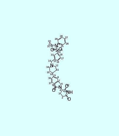 O=C1CCC(N2Cc3cc(C4CCN(Cc5cccc(S(=O)(=O)N(c6ccccc6)C6CC6)c5)CC4)ccc3C2=O)C(=O)N1